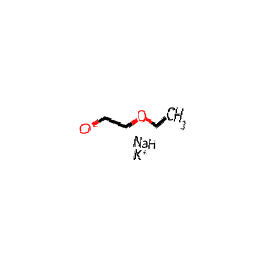 CCOCC[O-].[K+].[NaH]